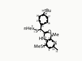 CCCCCCSC(C(=O)Nc1c(SC)cc(C)nc1SC)c1ccc(C(C)(C)C)cc1